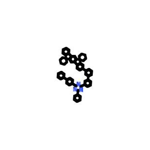 c1ccc(-c2ccc(-c3nc(-c4ccccc4)nc(-c4cccc(-c5cccc(-c6ccc7c(c6)C6(CCCCC6)c6cc8c(cc6-7)C6(CCCCC6)c6ccccc6-8)c5)c4)n3)cc2)cc1